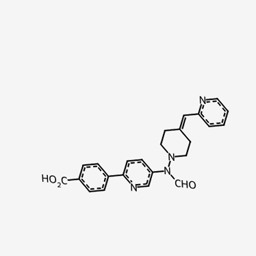 O=CN(c1ccc(-c2ccc(C(=O)O)cc2)nc1)N1CCC(=Cc2ccccn2)CC1